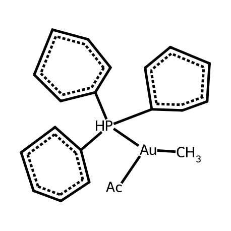 C[C](=O)[Au]([CH3])[PH](c1ccccc1)(c1ccccc1)c1ccccc1